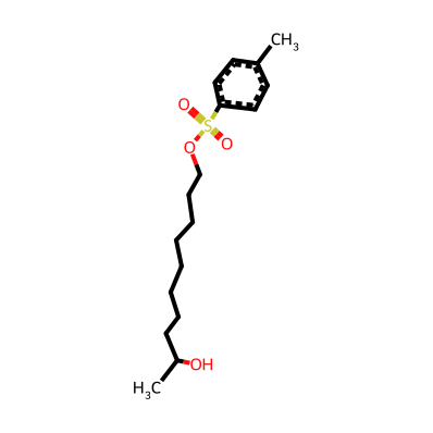 Cc1ccc(S(=O)(=O)OCCCCCCCCC(C)O)cc1